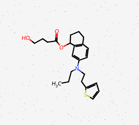 CCCN(CCc1cccs1)c1ccc2c(c1)C(OC(=O)CCCO)CCC2